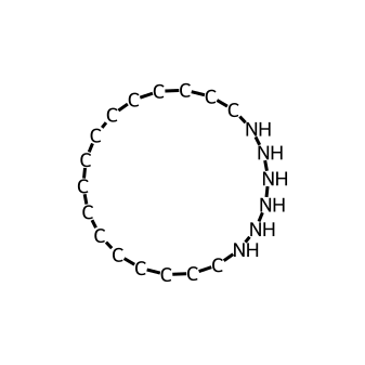 C1CCCCCCCCNNNNNNCCCCCCC1